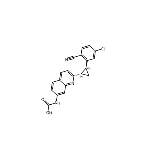 N#Cc1ccc(Cl)cc1[C@H]1C[C@@H]1c1ccc2ccc(NC(=O)O)cc2n1